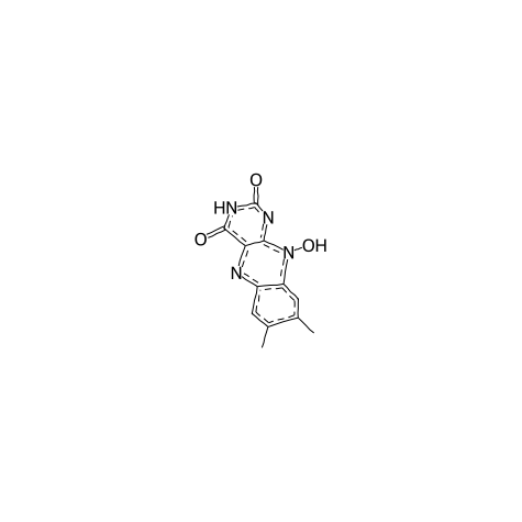 Cc1cc2nc3c(=O)[nH]c(=O)nc-3n(O)c2cc1C